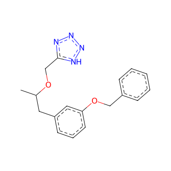 CC(Cc1cccc(OCc2ccccc2)c1)OCc1nnn[nH]1